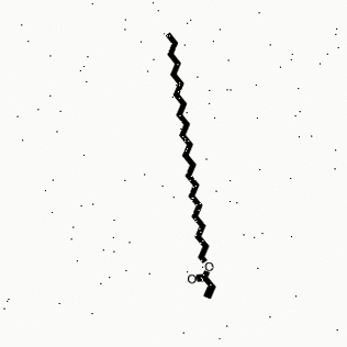 [CH2]CCCCCCCCCCCCCCCCCCCCCCOC(=O)C=C